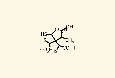 CC(CO)C(C(S)C(=O)O)(C(S)C(=O)O)C(S)C(=O)O